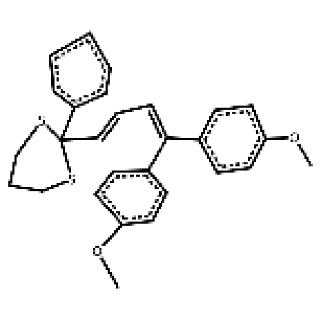 COc1ccc(C(=C/C=C/C2(c3ccccc3)SCCCS2)c2ccc(OC)cc2)cc1